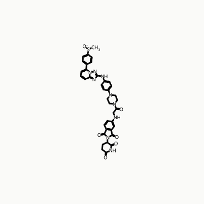 C[S+]([O-])c1ccc(-c2cccc3nc(Nc4ccc(N5CCN(C(=O)CNc6ccc7c(c6)C(=O)N(C6CCC(=O)NC6=O)C7=O)CC5)cc4)nn23)cc1